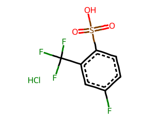 Cl.O=S(=O)(O)c1ccc(F)cc1C(F)(F)F